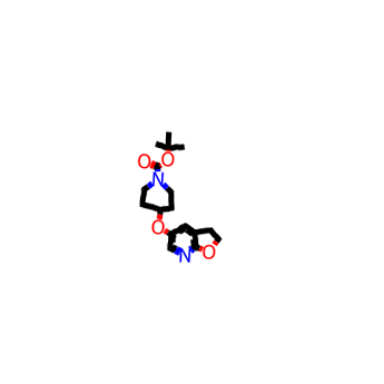 CC(C)(C)OC(=O)N1CCC(Oc2cnc3c(c2)CCO3)CC1